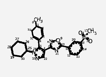 CC1C=CC(c2c(-c3noc(-c4cccc(S(C)(=O)=O)c4)n3)cnn2C2CCCCC2)=CC1